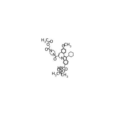 COc1ccc2c(c1)C=C(C(=O)N1CCN(C(=O)COC(C)=O)CC1)Cn1c-2c(C2CCCCC2)c2ccc(C(=O)NS(=O)(=O)N(C)C)cc21